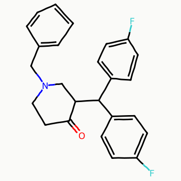 O=C1CCN(Cc2ccccc2)CC1C(c1ccc(F)cc1)c1ccc(F)cc1